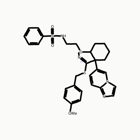 C/N=C(/SCc1ccc(OC)cc1)C1(c2ccc3nccn3c2)CCCCC1OCCNS(=O)(=O)c1ccccc1